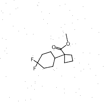 COC(=O)C1(C2CCC(F)(F)CC2)CCC1